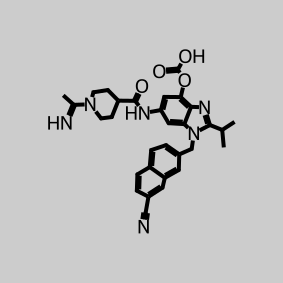 CC(=N)N1CCC(C(=O)Nc2cc(OC(=O)O)c3nc(C(C)C)n(Cc4ccc5ccc(C#N)cc5c4)c3c2)CC1